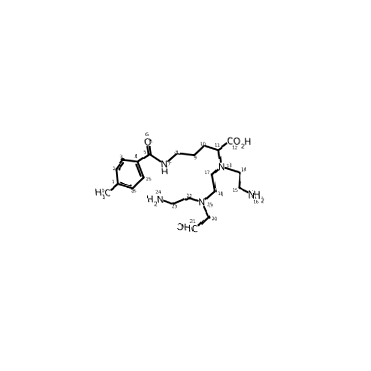 Cc1ccc(C(=O)NCCCC(C(=O)O)N(CCN)CCN(CC=O)CCN)cc1